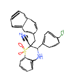 N#CC1(Cc2ccc3ccccc3c2)C(c2ccc(Cl)cc2)Nc2ccccc2S1(=O)=O